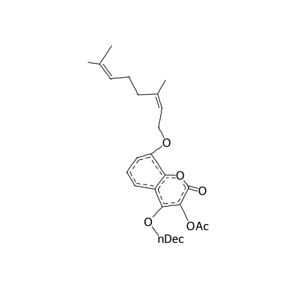 CCCCCCCCCCOc1c(OC(C)=O)c(=O)oc2c(OCC=C(C)CCC=C(C)C)cccc12